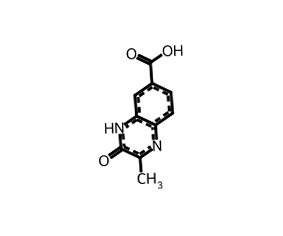 Cc1nc2ccc(C(=O)O)cc2[nH]c1=O